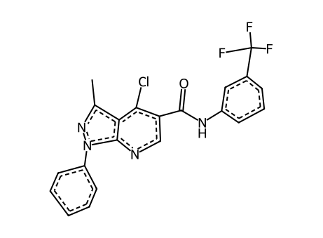 Cc1nn(-c2ccccc2)c2ncc(C(=O)Nc3cccc(C(F)(F)F)c3)c(Cl)c12